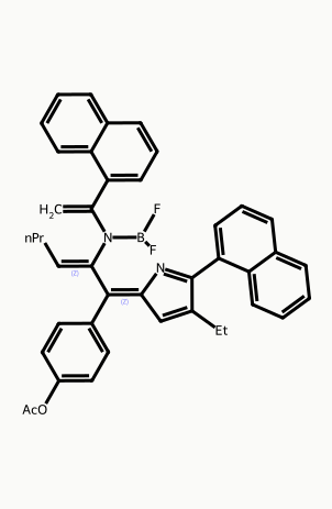 C=C(c1cccc2ccccc12)N(B(F)F)C(=C\CCC)/C(=C1/C=C(CC)C(c2cccc3ccccc23)=N1)c1ccc(OC(C)=O)cc1